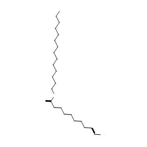 CCCCC=CCCCCCCCC(=O)OCCCCCCCCCCCCCC(C)C